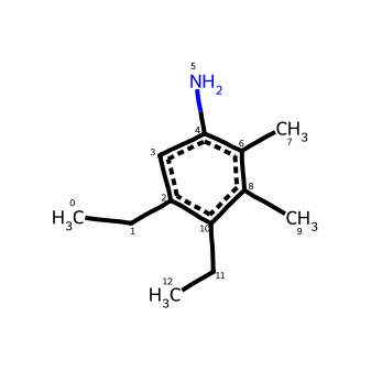 CCc1cc(N)c(C)c(C)c1CC